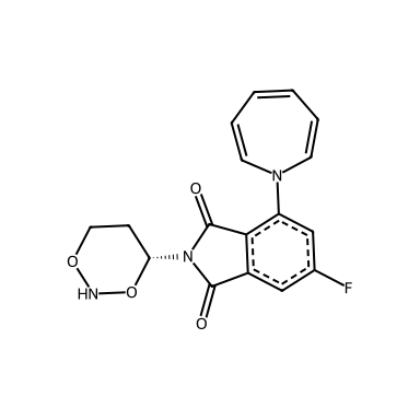 O=C1c2cc(F)cc(N3C=CC=CC=C3)c2C(=O)N1[C@H]1CCONO1